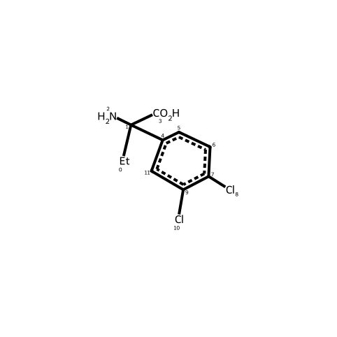 CCC(N)(C(=O)O)c1ccc(Cl)c(Cl)c1